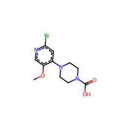 COc1cnc(Br)cc1N1CCN(C(=O)O)CC1